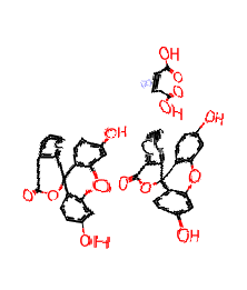 O=C(O)/C=C\C(=O)O.O=C1OC2(c3ccc(O)cc3Oc3cc(O)ccc32)c2ccccc21.O=C1OC2(c3ccc(O)cc3Oc3cc(O)ccc32)c2ccccc21